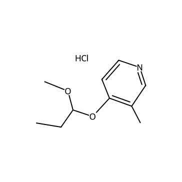 CCC(OC)Oc1ccncc1C.Cl